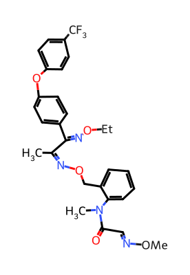 CCON=C(C(C)=NOCc1ccccc1N(C)C(=O)C=NOC)c1ccc(Oc2ccc(C(F)(F)F)cc2)cc1